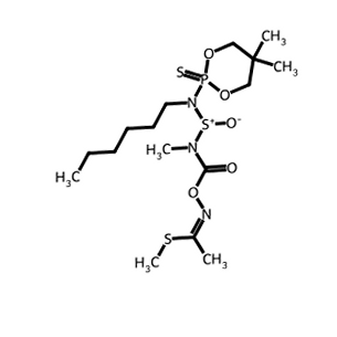 CCCCCCN([S+]([O-])N(C)C(=O)ON=C(C)SC)P1(=S)OCC(C)(C)CO1